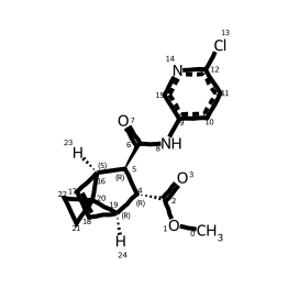 COC(=O)[C@H]1[C@H](C(=O)Nc2ccc(Cl)nc2)[C@@H]2C=C[C@H]1C21CC1